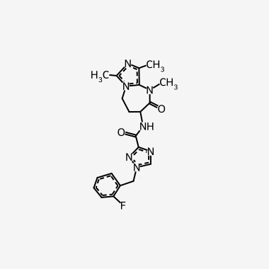 Cc1nc(C)n2c1N(C)C(=O)C(NC(=O)c1ncn(Cc3ccccc3F)n1)CC2